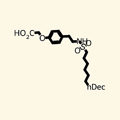 CCCCCCCCCCCCCCCCS(=O)(=O)NCCc1ccc(OCC(=O)O)cc1